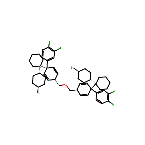 CC[C@H]1CC[C@H](C2([C@]3(c4ccc(F)c(F)c4)C=C[C@H](COC[C@H]4C=C[C@@](c5ccc(F)c(F)c5)(C5([C@H]6CC[C@H](CC)CC6)CCCCC5)C=C4)C=C3)CCCCC2)CC1